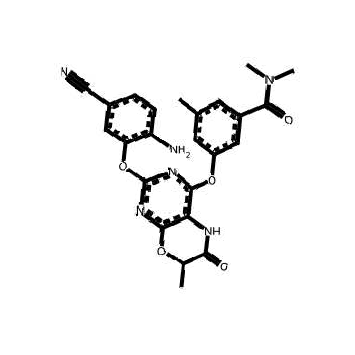 Cc1cc(Oc2nc(Oc3cc(C#N)ccc3N)nc3c2NC(=O)C(C)O3)cc(C(=O)N(C)C)c1